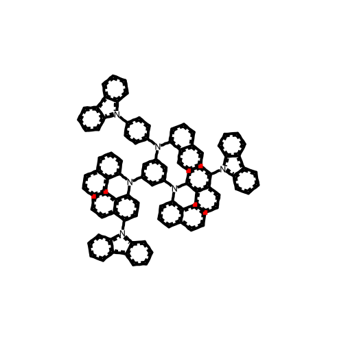 c1ccc2c(N(c3ccc(-n4c5ccccc5c5ccccc54)cc3)c3cc(N(c4cccc5ccccc45)c4ccc(-n5c6ccccc6c6ccccc65)c5ccccc45)cc(N(c4cccc5ccccc45)c4ccc(-n5c6ccccc6c6ccccc65)c5ccccc45)c3)cccc2c1